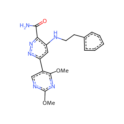 COc1ncc(-c2cc(NCCc3ccccc3)c(C(N)=O)nn2)c(OC)n1